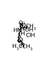 CC(O)CNC(=C[N+](=O)[O-])NCCSCc1ccc(CN(C)C)o1.Cl